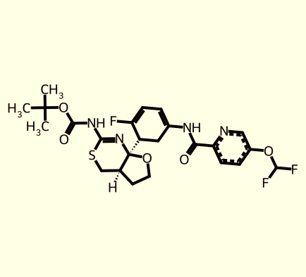 CC(C)(C)OC(=O)NC1=N[C@@]2(C3CC(NC(=O)c4ccc(OC(F)F)cn4)=CC=C3F)OCC[C@H]2CS1